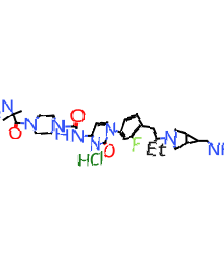 CCC(Cc1ccc(-n2ccc(NC(=O)N3CCN(C(=O)C(C)(C)N)CC3)nc2=O)cc1F)N1CC2C(CN)C2C1.Cl